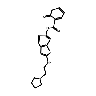 N=C(Nc1ccc2nc(NCCN3CCCC3)sc2c1)C1=CC=CCC1=S